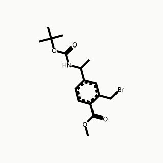 COC(=O)c1ccc(C(C)NC(=O)OC(C)(C)C)cc1CBr